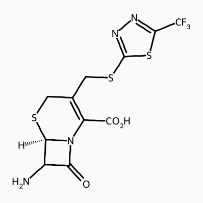 NC1C(=O)N2C(C(=O)O)=C(CSc3nnc(C(F)(F)F)s3)CS[C@H]12